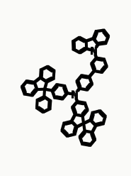 c1ccc(C2(c3ccc(N(c4ccc(-c5cccc(-n6c7ccccc7c7ccccc76)c5)cc4)c4ccc5c(c4)-c4ccccc4C54c5ccccc5-c5ccccc54)cc3)c3ccccc3-c3ccccc32)cc1